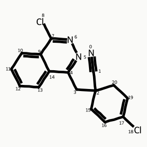 N#CC1(Cc2nnc(Cl)c3ccccc23)C=CC(Cl)=CC1